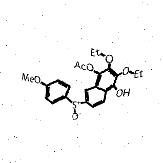 CCOc1c(OCC)c(OC(C)=O)c2cc([S+]([O-])c3ccc(OC)cc3)ccc2c1O